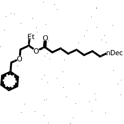 CCCCCCCCCCCCCCCCCC(=O)OC(CC)COCc1ccccc1